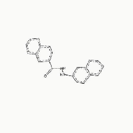 O=C(NNc1ccc2ccccc2c1)c1ccc2ccccc2c1